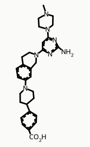 CN1CCN(c2cc(N3CCc4ccc(N5CCC(c6ccc(C(=O)O)cc6)CC5)cc4C3)nc(N)n2)CC1